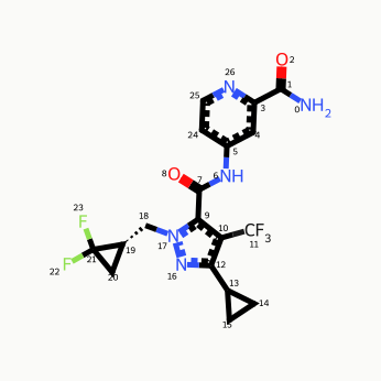 NC(=O)c1cc(NC(=O)c2c(C(F)(F)F)c(C3CC3)nn2C[C@@H]2CC2(F)F)ccn1